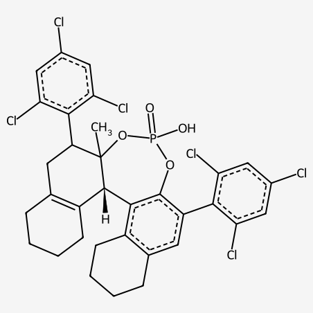 CC12OP(=O)(O)Oc3c(-c4c(Cl)cc(Cl)cc4Cl)cc4c(c3[C@@H]1C1=C(CCCC1)CC2c1c(Cl)cc(Cl)cc1Cl)CCCC4